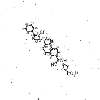 N#CC(N[C@H]1C[C@H](C(=O)O)C1)c1ccc2c(c1)CCc1c-2noc1-c1onc(-c2ccccc2)c1C(F)(F)F